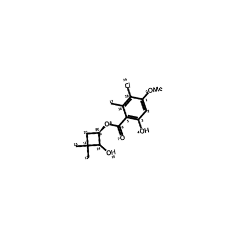 COc1cc(O)c(C(=O)O[C@@H]2CC(C)(C)C2O)c(C)c1Cl